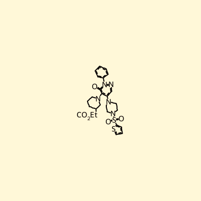 CCOC(=O)C1CCCN(c2c(N3CCN(S(=O)(=O)c4cccs4)CC3)cnn(-c3ccccc3)c2=O)C1